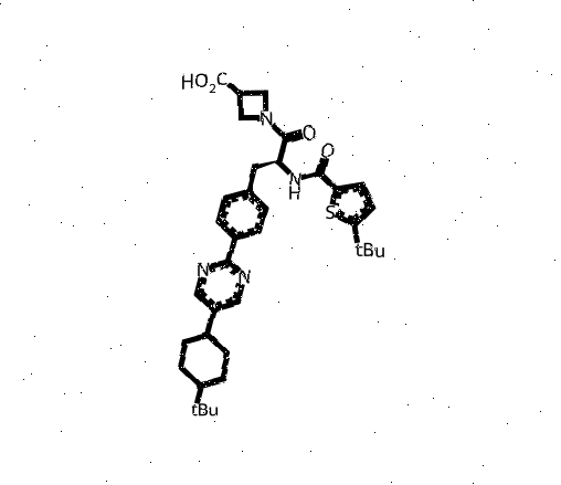 CC(C)(C)c1ccc(C(=O)N[C@@H](Cc2ccc(-c3ncc(C4CCC(C(C)(C)C)CC4)cn3)cc2)C(=O)N2CC(C(=O)O)C2)s1